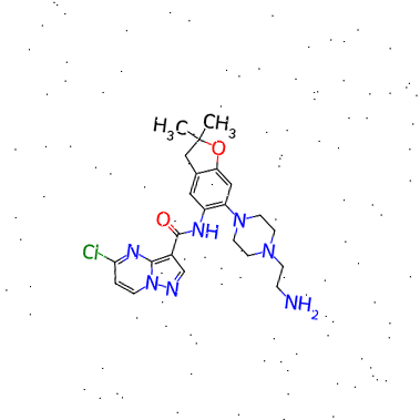 CC1(C)Cc2cc(NC(=O)c3cnn4ccc(Cl)nc34)c(N3CCN(CCN)CC3)cc2O1